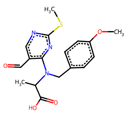 COc1ccc(CN(c2nc(SC)ncc2C=O)C(C)C(=O)O)cc1